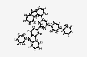 c1ccc(-c2ccc(-c3cc(-c4cccc5sc6ccccc6c45)nc(-c4ccc5c(c4)c4ccccc4n5-c4ccccc4)n3)cc2)cc1